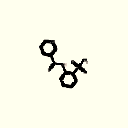 O=C(Nc1ccccc1S(=O)(=O)C(F)(F)F)c1cccnc1